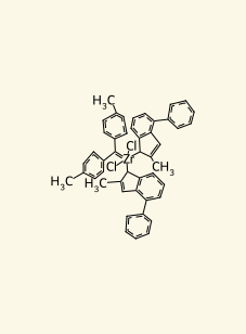 CC1=Cc2c(-c3ccccc3)cccc2[CH]1[Zr]([Cl])([Cl])(=[C](c1ccc(C)cc1)c1ccc(C)cc1)[CH]1C(C)=Cc2c(-c3ccccc3)cccc21